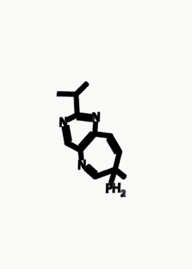 CC(C)c1ncc2c(n1)C=CC(C)(P)C=N2